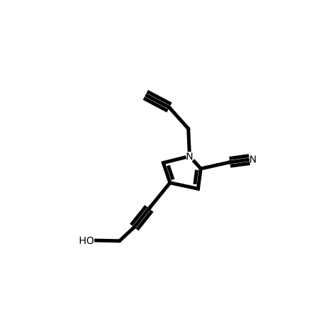 C#CCn1cc(C#CCO)cc1C#N